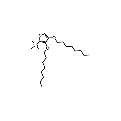 CCCCCCCCOc1cs[c]([Sn]([CH3])([CH3])[CH3])c1OCCCCCCCC